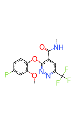 CNC(=O)c1cc(C(F)(F)F)nnc1Oc1ccc(F)cc1OC